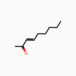 CCCCC/C=C/C(C)=O